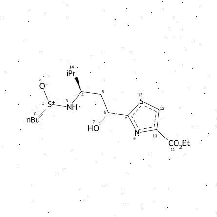 CCCC[S@+]([O-])N[C@H](C[C@@H](O)c1nc(C(=O)OCC)cs1)C(C)C